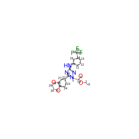 CCOC(=O)Cn1nc(Nc2cccc(C(F)(F)F)c2)nc1-c1ccc2c(c1)OCCO2